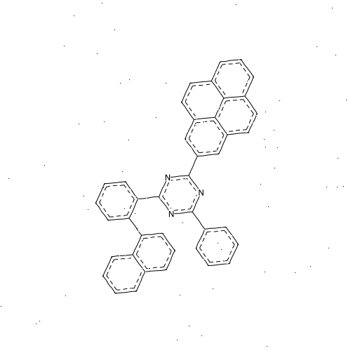 c1ccc(-c2nc(-c3cc4ccc5cccc6ccc(c3)c4c56)nc(-c3ccccc3-c3cccc4ccccc34)n2)cc1